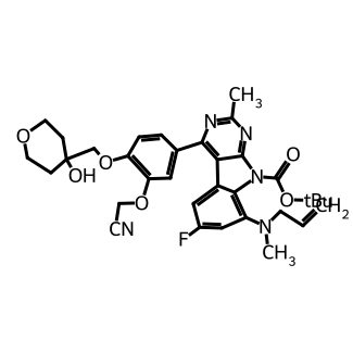 C=CCN(C)c1cc(F)cc2c3c(-c4ccc(OCC5(O)CCOCC5)c(OCC#N)c4)nc(C)nc3n(C(=O)OC(C)(C)C)c12